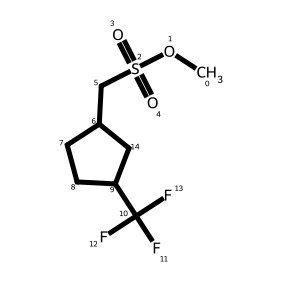 COS(=O)(=O)CC1CCC(C(F)(F)F)C1